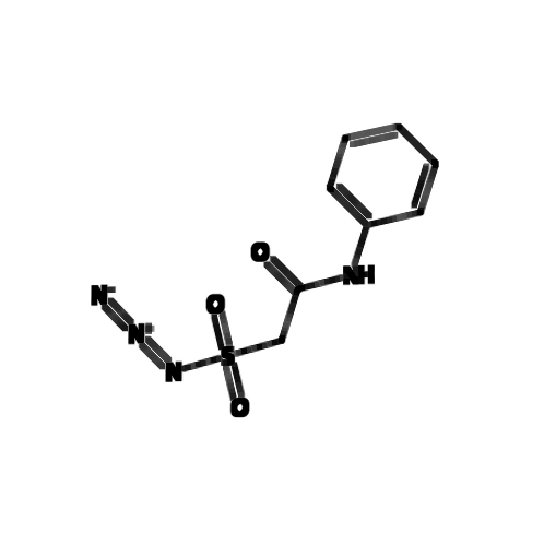 [N-]=[N+]=NS(=O)(=O)CC(=O)Nc1ccccc1